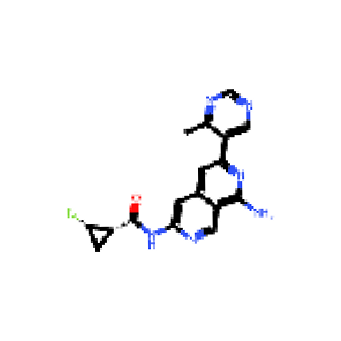 Cc1ncncc1-c1cc2cc(NC(=O)[C@@H]3C[C@@H]3F)ncc2c(N)n1